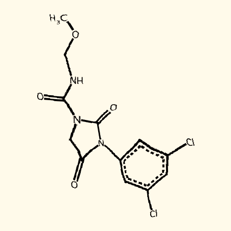 COCNC(=O)N1CC(=O)N(c2cc(Cl)cc(Cl)c2)C1=O